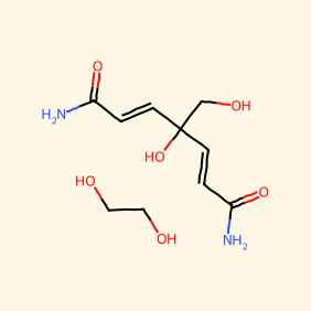 NC(=O)C=CC(O)(C=CC(N)=O)CO.OCCO